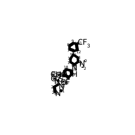 CN(C)[C@H]1C[C@@H](c2cccc(C(F)(F)F)c2)CC[C@@H]1Nc1ccc(S(=O)(=O)N(OC=O)c2ccncn2)c(F)c1